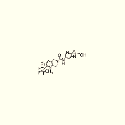 CC(C)(c1ccc2c(n1)CC[C@@H](C(=O)Nc1cnc3sc(CO)nc3c1)C2)C(F)(F)F